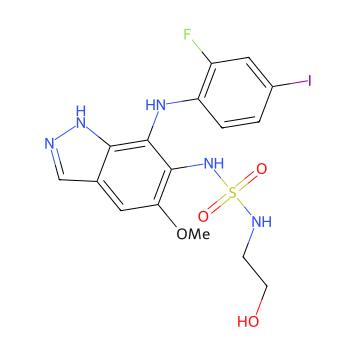 COc1cc2cn[nH]c2c(Nc2ccc(I)cc2F)c1NS(=O)(=O)NCCO